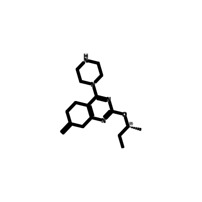 C=C1CCc2c(nc(O[C@H](C)CC)nc2N2CCNCC2)C1